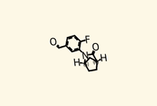 O=Cc1ccc(F)c(N2C(=O)[C@@H]3CC[C@H]2C3)c1